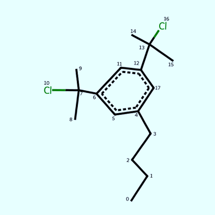 CCCCc1cc(C(C)(C)Cl)cc(C(C)(C)Cl)c1